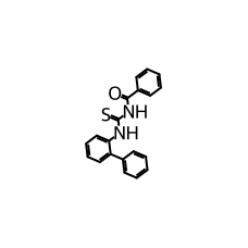 O=C(NC(=S)Nc1ccccc1-c1ccccc1)c1ccccc1